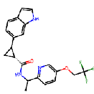 C[C@@H](NC(=O)[C@@H]1C[C@H]1c1ccc2cc[nH]c2c1)c1ccc(OCC(F)(F)F)cn1